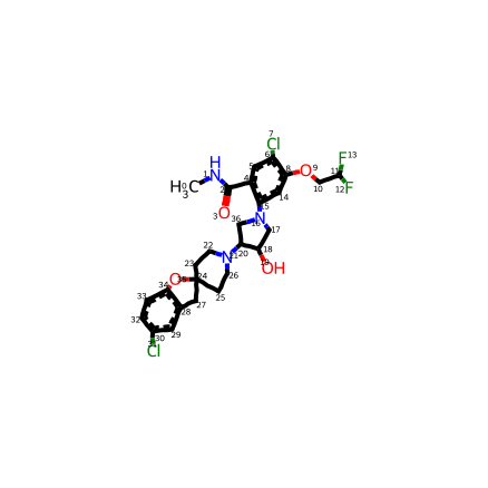 CNC(=O)c1cc(Cl)c(OCC(F)F)cc1N1CC(O)C(N2CCC3(CC2)Cc2cc(Cl)ccc2O3)C1